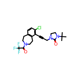 CC(C)(C)N1CCN(CC#Cc2c(Cl)ccc3c2CCN(C(=O)C(F)(F)F)CC3)C1=O